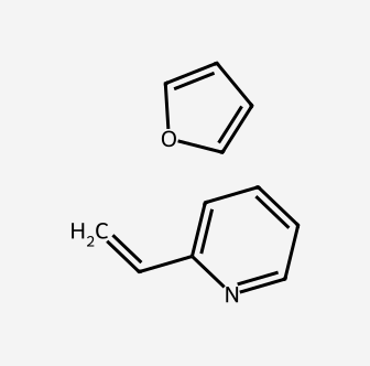 C=Cc1ccccn1.c1ccoc1